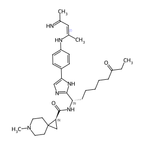 CCC(=O)CCCCC[C@H](NC(=O)[C@H]1CC12CCN(C)CC2)c1ncc(-c2ccc(N/C(C)=C\C(C)=N)cc2)[nH]1